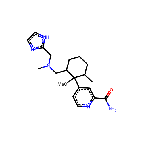 COC1(c2ccnc(C(N)=O)c2)C(C)CCCC1CN(C)Cc1ncc[nH]1